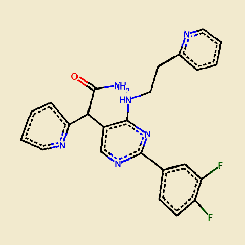 NC(=O)C(c1ccccn1)c1cnc(-c2ccc(F)c(F)c2)nc1NCCc1ccccn1